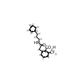 O=C(Cc1cccc(C(F)(F)F)c1C(=O)O)NCCCc1ccccc1